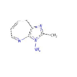 Cc1nc2c(n1N)N=CC=CC2